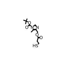 Cc1c(COC(=O)CCS)ncn1C(=O)OC(C)(C)C